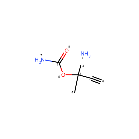 C#CC(C)(C)OC(N)=O.N